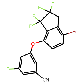 N#Cc1cc(F)cc(Oc2ccc(Br)c3c2C(F)(F)C(F)(F)C3)c1